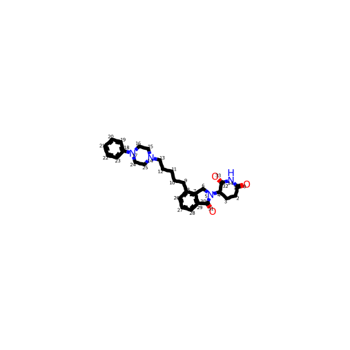 O=C1CCC(N2Cc3c(CCCCCN4CCN(c5ccccc5)CC4)cccc3C2=O)C(=O)N1